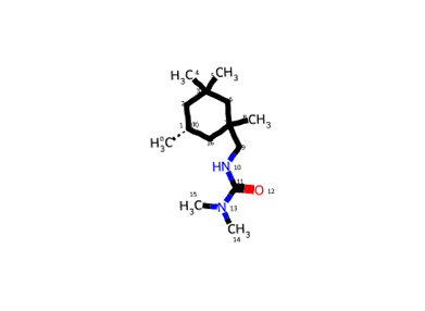 C[C@@H]1CC(C)(C)CC(C)(CNC(=O)N(C)C)C1